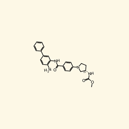 COC(=O)N[C@H]1CCN(c2ccc(C(=O)Nc3cc(-c4ccccc4)ccc3N)cc2)C1